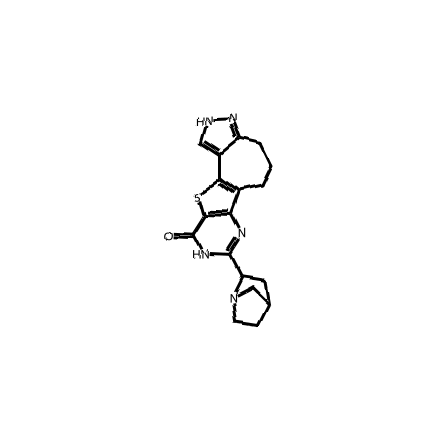 O=c1[nH]c(C2CC3CCN2C3)nc2c3c(sc12)-c1c[nH]nc1CCC3